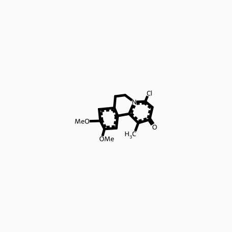 COc1cc2c(cc1OC)-c1c(C)c(=O)cc(Cl)n1CC2